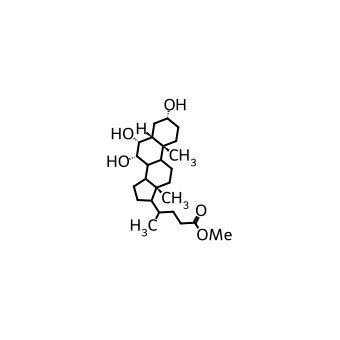 COC(=O)CCC(C)C1CCC2C3C(CC[C@]12C)[C@@]1(C)CC[C@@H](O)C[C@H]1[C@@H](O)[C@H]3O